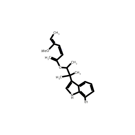 C=C(/C=C\C(=C/C)OC)OC(C)C(C)(C)c1c[nH]c2c(CC)cccc12